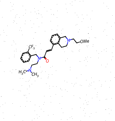 COCCN1CCc2c(C=CC(=O)N(CCN(C)C)Cc3ccccc3C(F)(F)F)cccc2C1